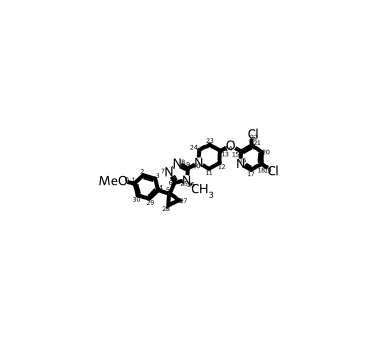 COc1ccc(C2(c3nnc(N4CCC(Oc5ncc(Cl)cc5Cl)CC4)n3C)CC2)cc1